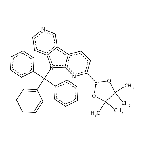 CC1(C)OB(c2ccc3c4cnccc4n(C(C4=CCCC=C4)(c4ccccc4)c4ccccc4)c3n2)OC1(C)C